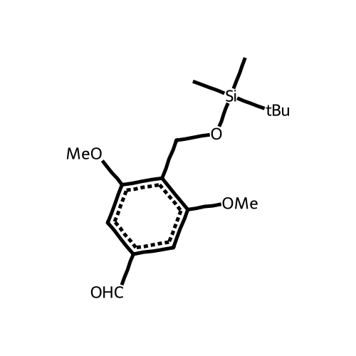 COc1cc(C=O)cc(OC)c1CO[Si](C)(C)C(C)(C)C